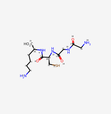 NCCCC[C@H](NC(=O)[C@H](CS)NC(=O)CNC(=O)CN)C(=O)O